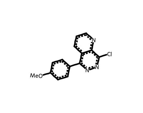 COc1ccc(-c2nnc(Cl)c3ncccc23)cc1